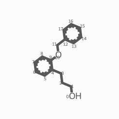 OCCCc1ccccc1OCc1ccccc1